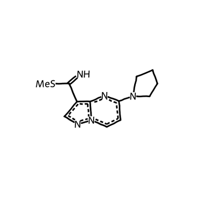 CSC(=N)c1cnn2ccc(N3CCCC3)nc12